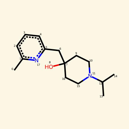 Cc1cccc(CC2(O)CCN(C(C)C)CC2)n1